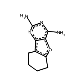 Nc1nc(N)c2oc3c(c2n1)CCCC3